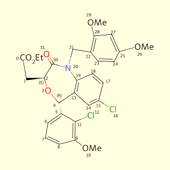 CCOC(=O)C[C@@H]1O[C@@H](c2cccc(OC)c2Cl)c2cc(Cl)ccc2N(Cc2ccc(OC)cc2OC)C1=O